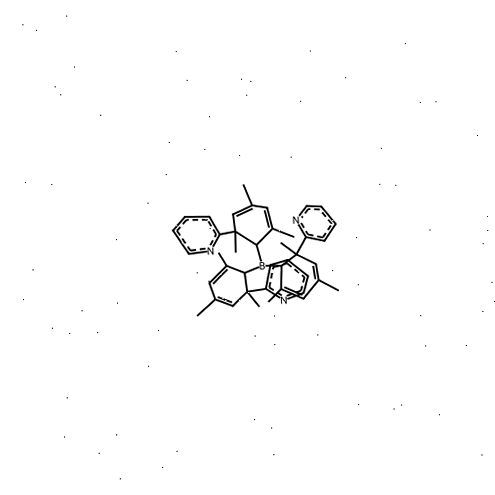 CC1=CC(C)(c2ccccn2)C(B(C2C(C)=CC(C)=CC2(C)c2ccccn2)C2C(C)=CC(C)=CC2(C)c2ccccn2)C(C)=C1